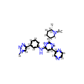 CC(=O)N1C[C@H](c2nc(Nc3cccc(-c4cn(C)nn4)c3)cc(-c3cnccn3)n2)CC[C@@H]1C